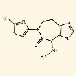 CNC1C(=O)N(c2csc(C)n2)CCc2ncsc21